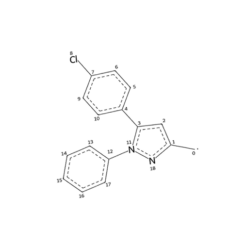 [CH2]c1cc(-c2ccc(Cl)cc2)n(-c2ccccc2)n1